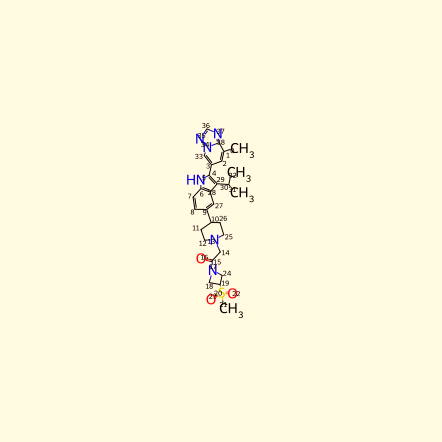 Cc1cc(-c2[nH]c3ccc(C4CCN(CC(=O)N5CC(S(C)(=O)=O)C5)CC4)cc3c2C(C)C)cn2ncnc12